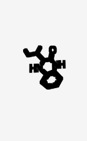 CCC(C)C1Nc2ccccc2NC1=O